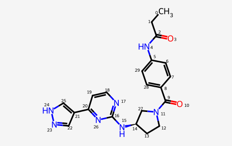 CCC(=O)Nc1ccc(C(=O)N2CC[C@@H](Nc3nccc(-c4cn[nH]c4)n3)C2)cc1